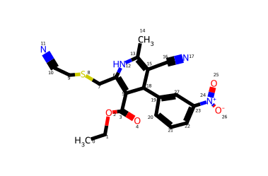 CCOC(=O)C1=C(CSCC#N)NC(C)=C(C#N)C1c1cccc([N+](=O)[O-])c1